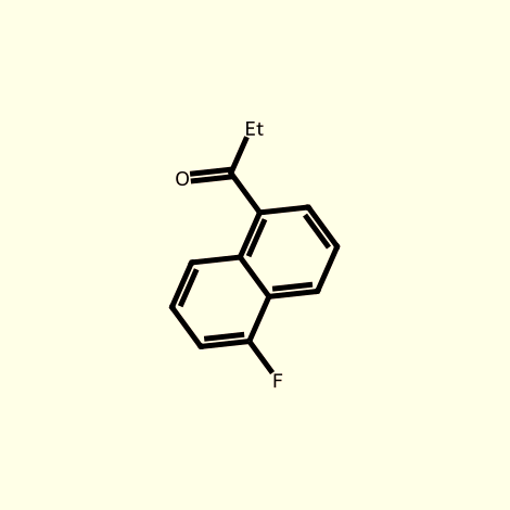 CCC(=O)c1cccc2c(F)cccc12